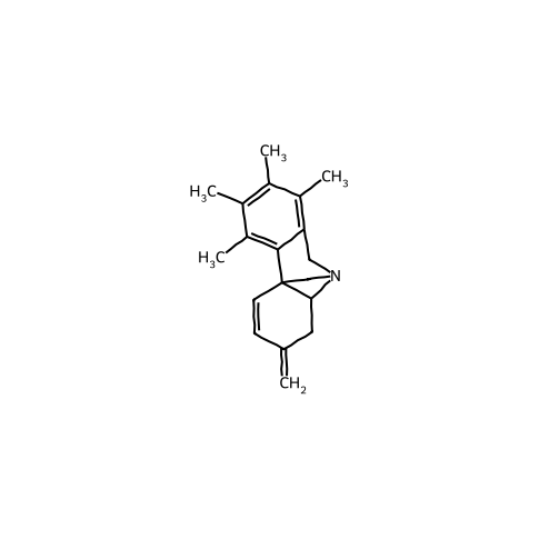 C=C1C=CC23CCN(Cc4c(C)c(C)c(C)c(C)c42)C3C1